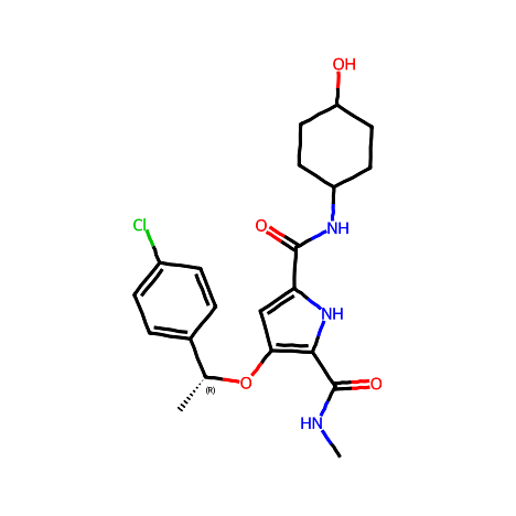 CNC(=O)c1[nH]c(C(=O)NC2CCC(O)CC2)cc1O[C@H](C)c1ccc(Cl)cc1